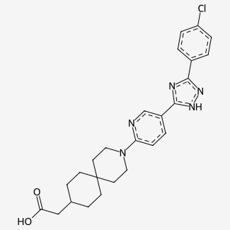 O=C(O)CC1CCC2(CC1)CCN(c1ccc(-c3nc(-c4ccc(Cl)cc4)n[nH]3)cn1)CC2